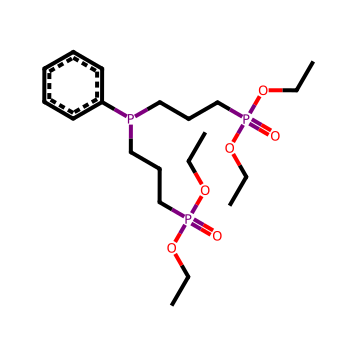 CCOP(=O)(CCCP(CCCP(=O)(OCC)OCC)c1ccccc1)OCC